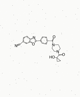 N#Cc1ccc2nc(-c3ccc(C(=O)N4CCN(C(=O)C5(O)CC5)CC4)cc3)oc2c1